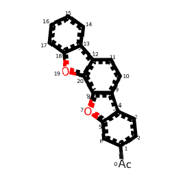 CC(=O)c1ccc2c(c1)oc1c2ccc2c3ccccc3oc21